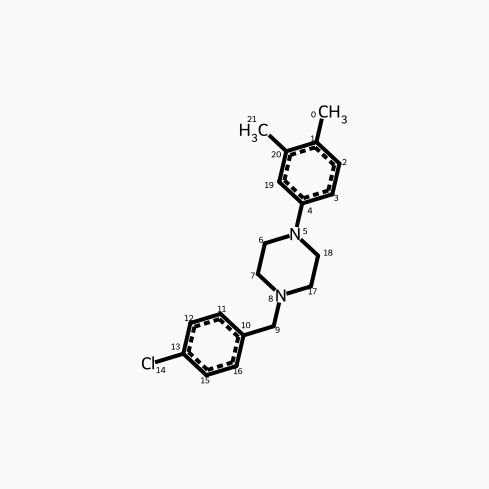 Cc1ccc(N2CCN(Cc3ccc(Cl)cc3)CC2)cc1C